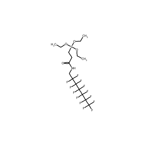 CCO[Si](CCC(=O)NCC(F)(F)C(F)(F)C(F)(F)C(F)(F)C(F)(F)C(F)(F)F)(OCC)OCC